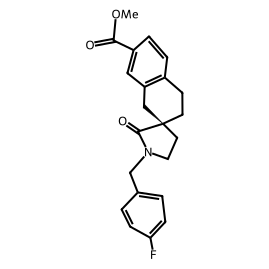 COC(=O)c1ccc2c(c1)C[C@@]1(CC2)CCN(Cc2ccc(F)cc2)C1=O